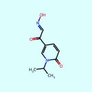 CC(C)n1cc(C(=O)C=NO)ccc1=O